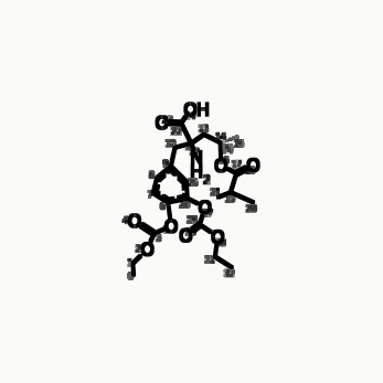 CCOC(=O)Oc1ccc(CC(N)(C[C@H](C)OC(=O)C(C)C)C(=O)O)cc1OC(=O)OCC